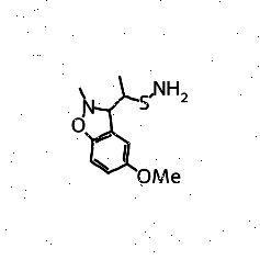 COc1ccc2c(c1)C(C(C)SN)N(C)O2